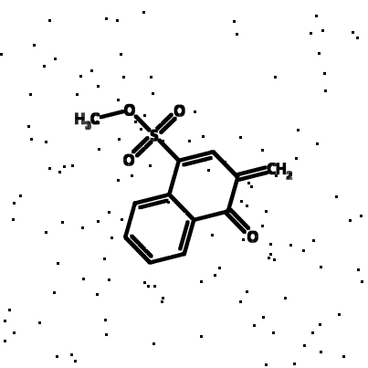 C=C1C=C(S(=O)(=O)OC)c2ccccc2C1=O